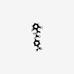 CC(NC(=O)Oc1ccc([N+](=O)[O-])cc1)c1c(F)cccc1Cl